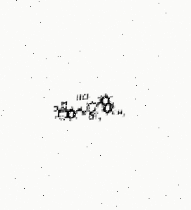 Cc1ccc2c(N3CCN(CCc4ccc5c(c4)NC(=O)CO5)C(C)C3)cccc2n1.Cl